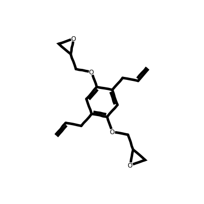 C=CCc1cc(OCC2CO2)c(CC=C)cc1OCC1CO1